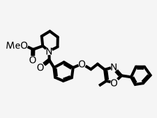 COC(=O)C1CCCCN1C(=O)c1cccc(OCCc2nc(-c3ccccc3)oc2C)c1